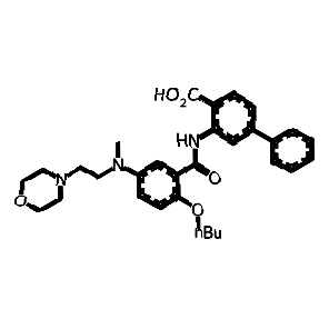 CCCCOc1ccc(N(C)CCN2CCOCC2)cc1C(=O)Nc1cc(-c2ccccc2)ccc1C(=O)O